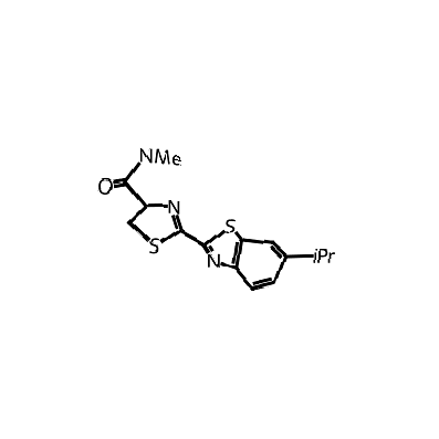 CNC(=O)C1CSC(c2nc3ccc(C(C)C)cc3s2)=N1